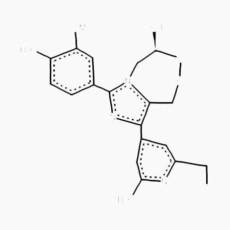 COc1cc(-c2nc(-c3cc(C)nc(CF)c3)c3n2C[C@@H](C)OCC3)ccc1C